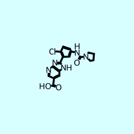 O=C(O)c1cnc2nc(-c3cc(NC(=O)N4CCCC4)ccc3Cl)[nH]c2c1